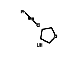 C1CCOC1.C[CH](C)[Mg][Cl].[LiH]